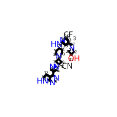 N#CC[C@]1(n2cc(-c3ncnc4[nH]ccc34)cn2)C[C@@H](N2CCC(Nc3cc(CN4CC(O)C4)cc(C(F)(F)F)n3)CC2)C1